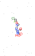 O=C(O)c1cc2n(CC3CCO3)c(CN3CCC(c4cccc(OCc5ccc(Cl)cc5F)n4)CC3)cn2n1